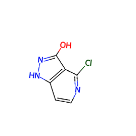 Oc1n[nH]c2ccnc(Cl)c12